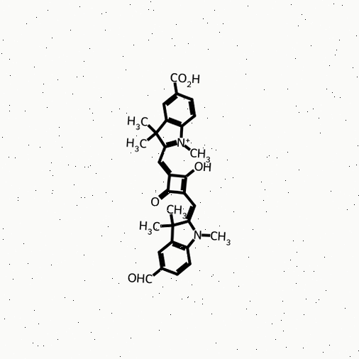 CN1/C(=C/C2=C(O)C(=C\C3=[N+](C)c4ccc(C(=O)O)cc4C3(C)C)/C2=O)C(C)(C)c2cc(C=O)ccc21